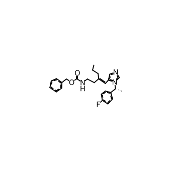 CCC/C(=C\c1cncn1[C@H](C)c1ccc(F)cc1)CCNC(=O)OCc1ccccc1